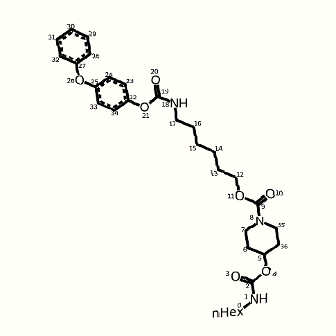 CCCCCCNC(=O)OC1CCN(C(=O)OCCCCCCNC(=O)Oc2ccc(Oc3ccccc3)cc2)CC1